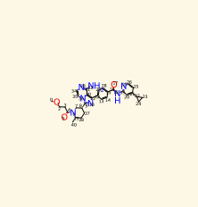 COCCC(=O)N1C[C@@H](c2nc(-c3ccc(C(=O)Nc4cc(C5CC5)ccn4)cc3)c3c(N)nccn23)CC[C@H]1C